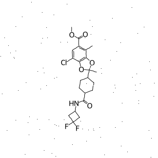 COC(=O)c1cc(Cl)c2c(c1C)OC(C)(C1CCC(C(=O)NC3CC(F)(F)C3)CC1)O2